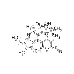 CCn1c(C)c(C)c2c(-c3ccc(C#N)cc3)c(C(OC(C)(C)C)C(=O)O)c(C)nc21